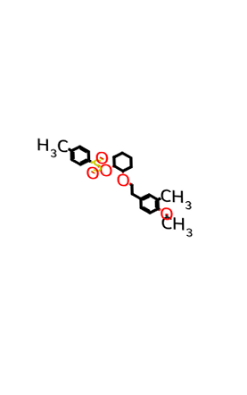 COc1ccc(CCO[C@H]2CCCC[C@H]2OS(=O)(=O)c2ccc(C)cc2)cc1C